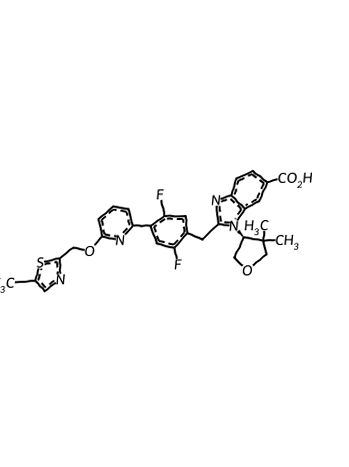 CC1(C)COC[C@H]1n1c(Cc2cc(F)c(-c3cccc(OCc4ncc(C(F)(F)F)s4)n3)cc2F)nc2ccc(C(=O)O)cc21